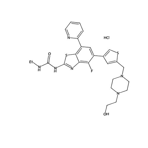 CCNC(=O)Nc1nc2c(F)c(-c3csc(CN4CCN(CCO)CC4)c3)cc(-c3ccccn3)c2s1.Cl